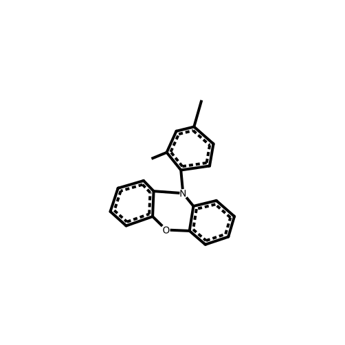 Cc1ccc(N2c3ccccc3Oc3ccccc32)c(C)c1